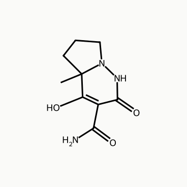 CC12CCCN1NC(=O)C(C(N)=O)=C2O